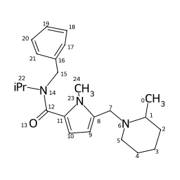 CC1CCCCN1Cc1ccc(C(=O)N(Cc2ccccc2)C(C)C)n1C